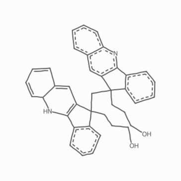 OCCCC1(CC2(CCCO)c3ccccc3-c3nc4ccccc4cc32)C2=C(NC3C=CC=CC3=C2)c2ccccc21